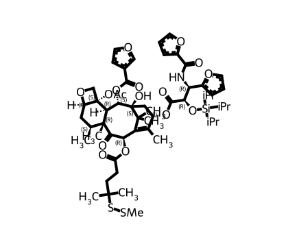 CSSC(C)(C)CCC(=O)O[C@H]1C(=O)[C@@]2(C)[C@H]([C@H](OC(=O)c3ccoc3)[C@]3(O)C[C@H](OC(=O)[C@H](O[Si](C(C)C)(C(C)C)C(C)C)[C@@H](NC(=O)c4ccco4)c4ccco4)C(C)=C1C3(C)C)[C@]1(OC(C)=O)CO[C@@H]1C[C@@H]2C